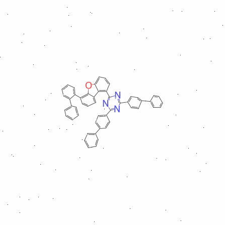 c1ccc(-c2ccc(-c3nc(-c4ccc(-c5ccccc5)cc4)nc(-c4cccc5oc6c(-c7ccccc7-c7ccccc7)cccc6c45)n3)cc2)cc1